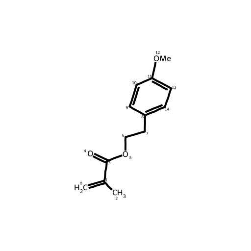 C=C(C)C(=O)OCCc1ccc(OC)cc1